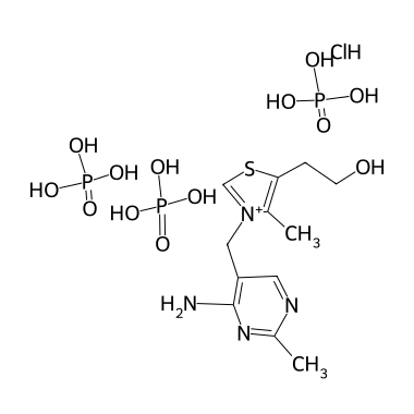 Cc1ncc(C[n+]2csc(CCO)c2C)c(N)n1.Cl.O=P(O)(O)O.O=P(O)(O)O.O=P(O)(O)O